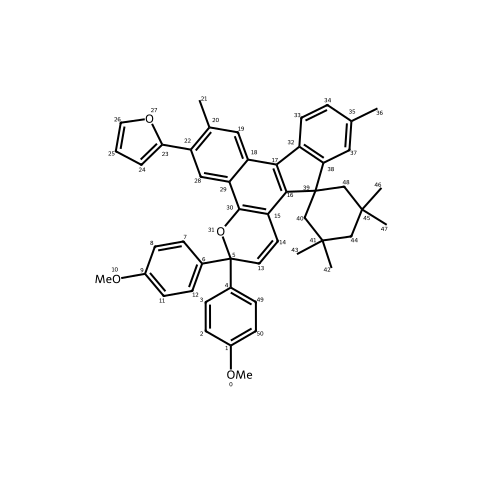 COc1ccc(C2(c3ccc(OC)cc3)C=Cc3c4c(c5cc(C)c(-c6ccco6)cc5c3O2)-c2ccc(C)cc2C42CC(C)(C)CC(C)(C)C2)cc1